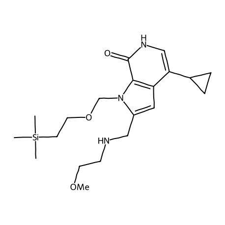 COCCNCc1cc2c(C3CC3)c[nH]c(=O)c2n1COCC[Si](C)(C)C